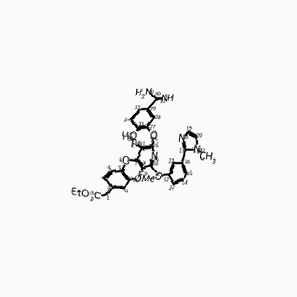 CCOC(=O)Cc1ccc(Oc2c(F)c(Oc3cccc(-c4nccn4C)c3)nc(Oc3cc(C(=N)N)ccc3O)c2F)c(OC)c1